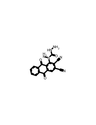 N#Cc1cc2c(c(N(N)C(=O)NN)c1C#N)C(=O)c1ccccc1C2=O